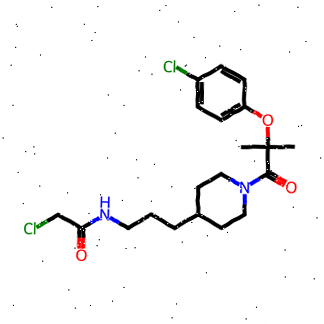 CC(C)(Oc1ccc(Cl)cc1)C(=O)N1CCC(CCCNC(=O)CCl)CC1